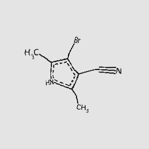 Cc1[nH]c(C)c(C#N)c1Br